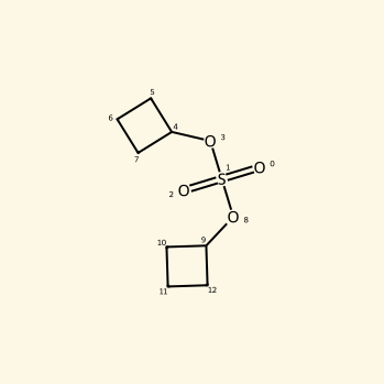 O=S(=O)(OC1CCC1)OC1CCC1